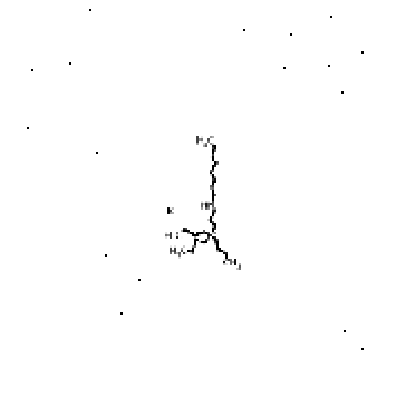 CCCCCCCCNCCC[P+](CCCC)(CCCC)CCCC.[Br-]